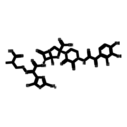 CC(CO/N=C(\C(=O)N[C@@H]1C(=O)N2C[C@@](C(=O)O)(N3CCN(NC(=O)C(=O)c4ccc(O)c(O)c4Cl)C(=O)C3=O)S[C@H]12)c1nc(N)sc1Cl)C(=O)O